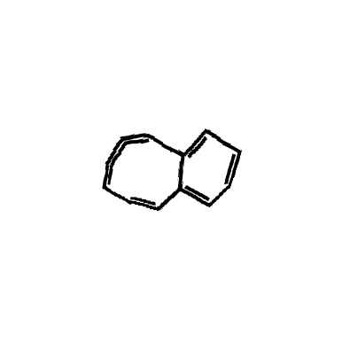 C1=C=Cc2ccccc2C=CC=1